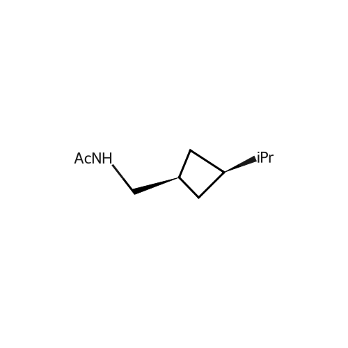 CC(=O)NC[C@H]1C[C@@H](C(C)C)C1